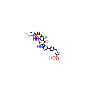 CCN(C)S(=O)(=O)Nc1ccc(F)c(C(=O)c2c[nH]c3ncc(-c4ccc(CN5CC[C@@H](C(=O)O)C5)cc4)cc23)c1F